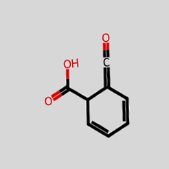 O=C=C1C=CC=CC1C(=O)O